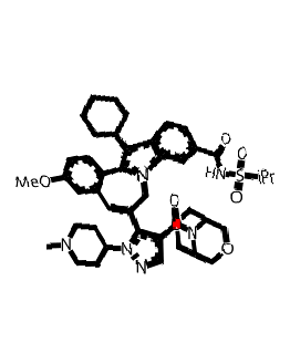 COc1ccc2c(c1)C=C(c1c(C(=O)N3C4COCC3COC4)cnn1C1CCN(C)CC1)Cn1c-2c(C2CCCCC2)c2ccc(C(=O)NS(=O)(=O)C(C)C)cc21